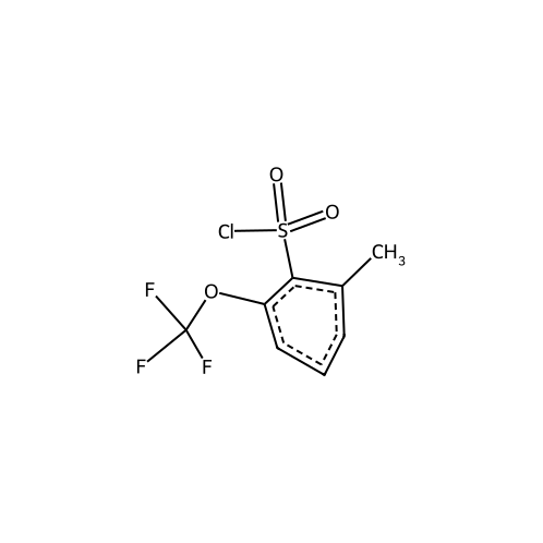 Cc1cccc(OC(F)(F)F)c1S(=O)(=O)Cl